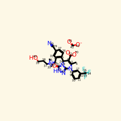 COC(=O)C1=C(C)N(c2cccc(C(F)(F)F)c2)c2n[nH]c(=O)n2C1c1ccc(C#N)cc1C[N+](C)(C)CCCO.O=C[O-]